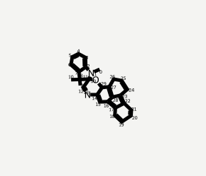 CN1c2ccccc2C(C)(C)C12C=NC1=CC3=c4ccccc4=C4C=CCC(=C43)C1O2